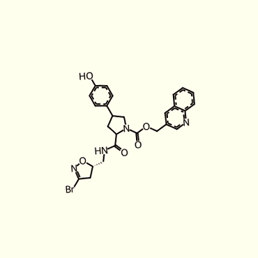 O=C(NC[C@@H]1CC(Br)=NO1)C1CC(c2ccc(O)cc2)CN1C(=O)OCc1cnc2ccccc2c1